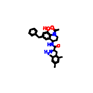 CC(=O)N1CCC(NC(=O)C(N)Cc2c(C)cc(C)cc2C)c2cc(Cc3ccccc3)cc(O)c21